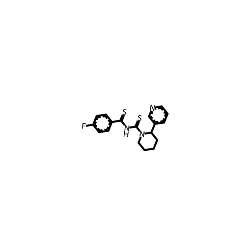 Fc1ccc(C(=S)NC(=S)N2CCCCC2c2cccnc2)cc1